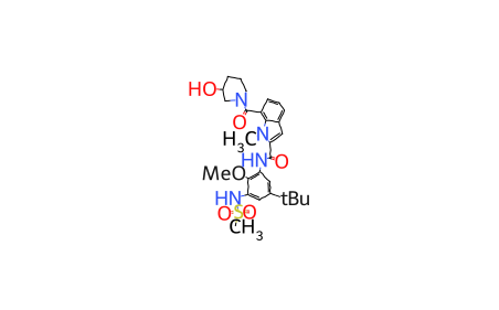 COc1c(NC(=O)c2cc3cccc(C(=O)N4CCCC(O)C4)c3n2C)cc(C(C)(C)C)cc1NS(C)(=O)=O